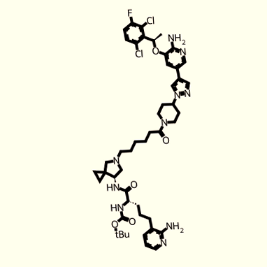 C[C@@H](Oc1cc(-c2cnn(C3CCN(C(=O)CCCCCN4C[C@H](NC(=O)[C@H](CCCc5cccnc5N)NC(=O)OC(C)(C)C)C5(CC5)C4)CC3)c2)cnc1N)c1c(Cl)ccc(F)c1Cl